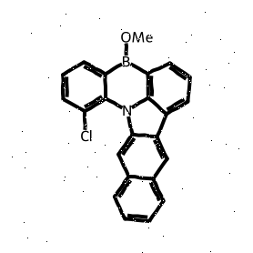 COB1c2cccc(Cl)c2-n2c3cc4ccccc4cc3c3cccc1c32